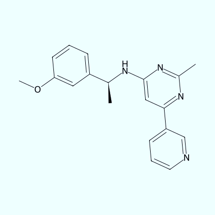 COc1cccc([C@H](C)Nc2cc(-c3cccnc3)nc(C)n2)c1